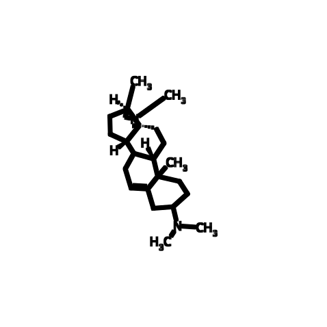 CC1[C@H]2CC[C@H]3C4CC=C5CC(N(C)C)CCC5(C)[C@H]4CC[C@]23CN1C